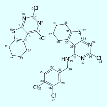 Clc1nc(Cl)c2c3c(sc2n1)CCCC3.Clc1nc(NCc2ccc(Cl)c(Cl)c2)c2c3c(sc2n1)CCCC3